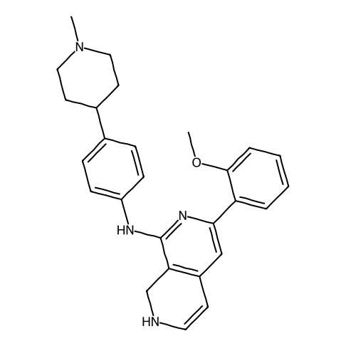 COc1ccccc1-c1cc2c(c(Nc3ccc(C4CCN(C)CC4)cc3)n1)CNC=C2